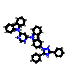 c1ccc(-c2nc(-c3ccccc3)n(-c3ccc4c(c3)c3ccccc3n4-c3cc(-n4c5ccccc5c5ccccc54)ncn3)n2)cc1